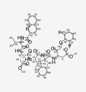 COC(=O)CC(NC(=O)C1(NC(=O)[C@@H](NC(=O)[C@H](CC(=O)OC)NC(=O)[C@@H](NC(=O)c2ccc3ccccc3n2)C(C)C)C(C)C)Cc2ccccc2C1)C(=O)COc1c(F)cccc1F